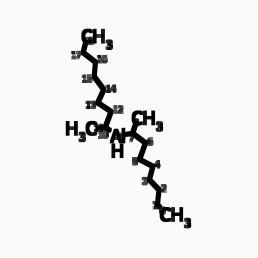 CCCCCCC[CH](C)[AlH][CH](C)CCCCCCC